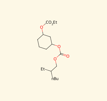 CCCCC(CC)COC(=O)OC1CCCC(OC(=O)OCC)C1